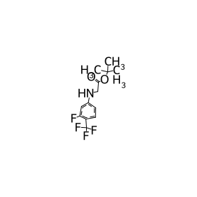 CC(C)(C)OC(=O)CNc1ccc(C(F)(F)F)c(F)c1